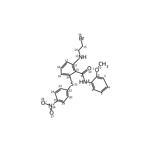 COc1ccccc1NC(=O)c1c(NCCBr)cccc1Sc1ccc([N+](=O)[O-])cc1